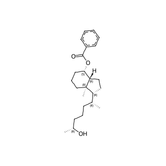 C[C@H](CCC[C@@H](C)O)[C@H]1CC[C@H]2[C@@H](OC(=O)c3ccccc3)CCC[C@]12C